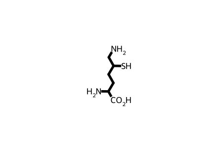 NCC(S)CCC(N)C(=O)O